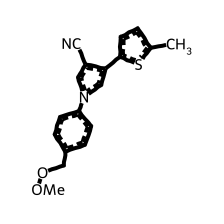 COOCc1ccc(-n2cc(C#N)c(-c3ccc(C)s3)c2)cc1